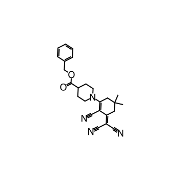 CC1(C)CC(=C(C#N)C#N)C(C#N)=C(N2CCC(C(=O)OCc3ccccc3)CC2)C1